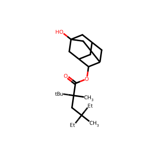 CCC(C)(CC)CC(C)(C(=O)OC1C2CC3CC1CC(O)(C3)C2)C(C)(C)C